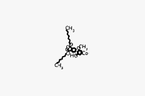 CCCCCCCCOC(=O)c1ccccc1C(=O)OCCCCCCCC.COc1cccc(O)c1.[Co]